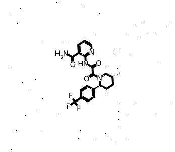 C[C@@H]1CC[C@@H](c2ccc(C(F)(F)F)cc2)N(C(=O)C(=O)Nc2ncccc2C(N)=O)C1